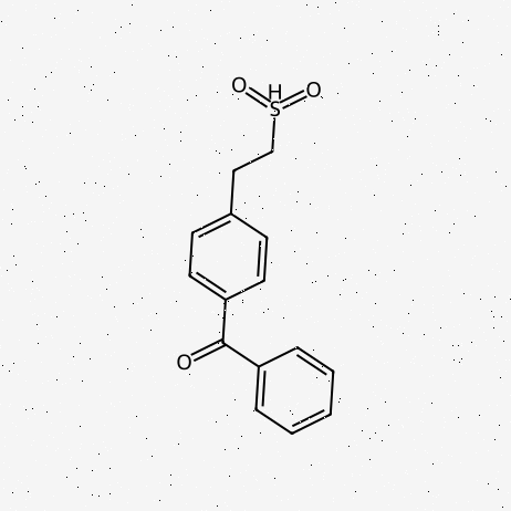 O=C(c1ccccc1)c1ccc(CC[SH](=O)=O)cc1